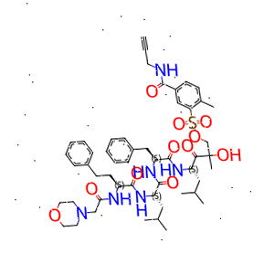 C#CCNC(=O)c1ccc(C)c(S(=O)(=O)OCC(C)(O)C(=O)[C@H](CC(C)C)NC(=O)[C@H](Cc2ccccc2)NC(=O)[C@H](CC(C)C)NC(=O)[C@H](CCc2ccccc2)NC(=O)CN2CCOCC2)c1